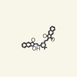 CC1(C)CC(/C=C/C2C(=O)c3cc4ccccc4cc3C2O)=CC(=C/C=C2C(=O)c3cc4ccccc4cc3C2=O)/C1